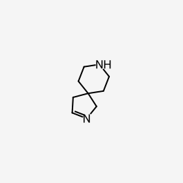 C1=NCC2(C1)CCNCC2